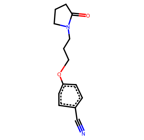 N#Cc1ccc(OCCCN2CCCC2=O)cc1